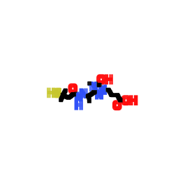 C/C(=N\NC(=O)CC(C)(C)S)C1=NN(CCCC(=O)O)C(O)N1C